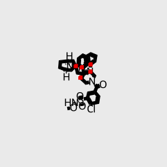 CONS(=O)(=O)c1cc(C(=O)N2CCC(CCN3[C@@H]4CC[C@H]3C[C@@H](n3c(C)nc5ccccc53)C4)(c3ccccc3)CC2)ccc1Cl